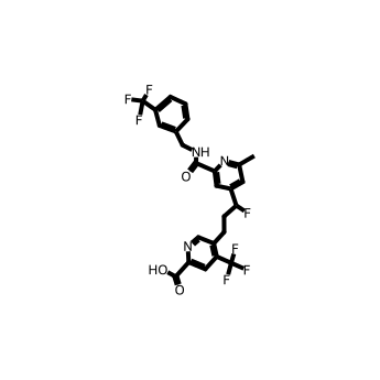 Cc1cc(C(F)CCc2cnc(C(=O)O)cc2C(F)(F)F)cc(C(=O)NCc2cccc(C(F)(F)F)c2)n1